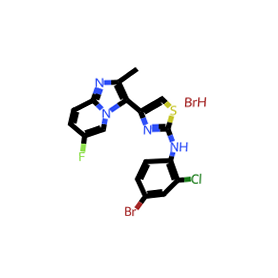 Br.Cc1nc2ccc(F)cn2c1-c1csc(Nc2ccc(Br)cc2Cl)n1